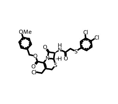 COc1ccc(COC(=O)C2=C(CCl)CS[C@@H]3[C@H](NC(=O)CSc4ccc(Cl)c(Cl)c4)C(=O)N23)cc1